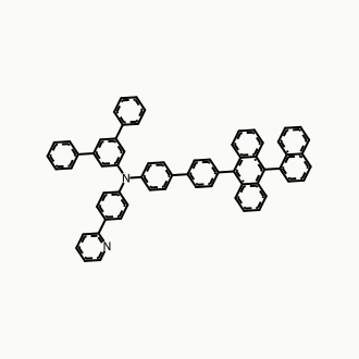 c1ccc(-c2cc(-c3ccccc3)cc(N(c3ccc(-c4ccc(-c5c6ccccc6c(-c6cccc7ccccc67)c6ccccc56)cc4)cc3)c3ccc(-c4ccccn4)cc3)c2)cc1